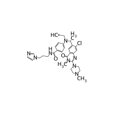 C#CCN(c1ccc(C(=O)NCCCn2ccnc2)cc1)C(C)c1cc2c(=O)n(C)c(N3CCN(C)CC3)nc2cc1Cl